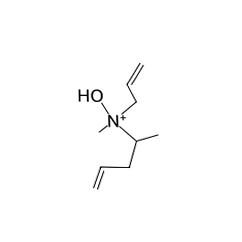 C=CCC(C)[N+](C)(O)CC=C